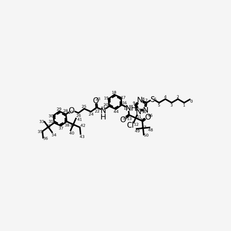 CCCCCCSc1ncn(C(Cl)(C(=O)Nc2cccc(NC(=O)CCCOc3ccc(C(C)(C)CC)cc3C(C)(C)CC)c2)C(=O)C(C)(C)C)n1